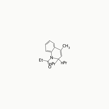 CCCC1(CCC)C=C(C)c2ccccc2N1C(=O)CC